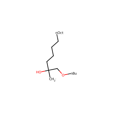 [CH2]C(O)(CCCCCCCCCCCC)COCCCC